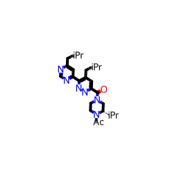 CC(C)Cc1cc(-c2nnc(C(=O)N3CCN([14C](C)=O)[C@@H](C(C)C)C3)cc2CC(C)C)ncn1